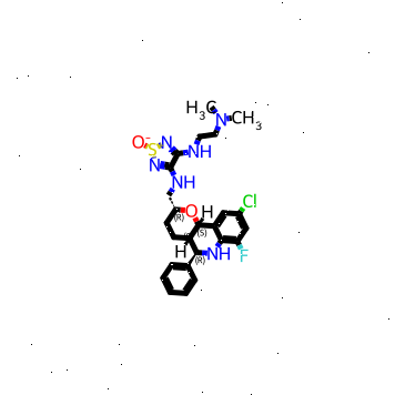 CN(C)CCNc1n[s+]([O-])nc1NC[C@H]1CC[C@@H]2[C@H](O1)c1cc(Cl)cc(F)c1N[C@H]2c1ccccc1